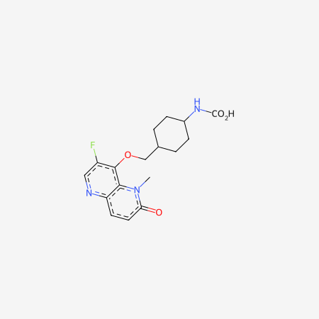 Cn1c(=O)ccc2ncc(F)c(OCC3CCC(NC(=O)O)CC3)c21